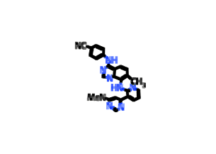 CNc1cc(-c2cccnc2Nc2c(C)ccc3c(Nc4ccc(C#N)cc4)ncnc23)ncn1